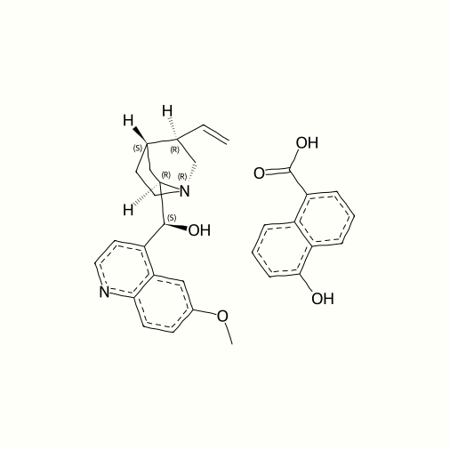 C=C[C@H]1C[N@]2CC[C@H]1C[C@@H]2[C@@H](O)c1ccnc2ccc(OC)cc12.O=C(O)c1cccc2c(O)cccc12